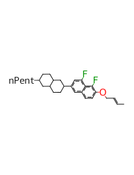 C/C=C/COc1ccc2cc(C3CCC4CC(CCCCC)CCC4C3)cc(F)c2c1F